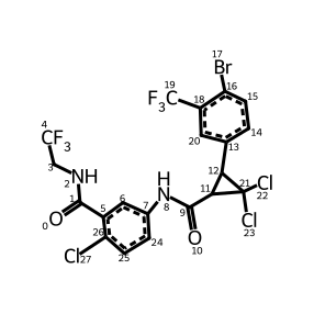 O=C(NCC(F)(F)F)c1cc(NC(=O)C2C(c3ccc(Br)c(C(F)(F)F)c3)C2(Cl)Cl)ccc1Cl